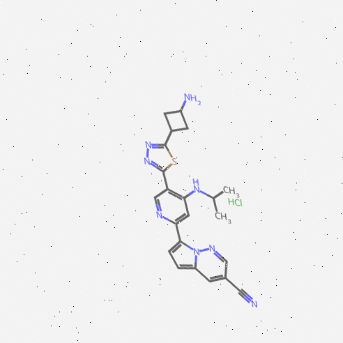 CC(C)Nc1cc(-c2ccc3cc(C#N)cnn23)ncc1-c1nnc(C2CC(N)C2)s1.Cl